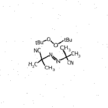 CC(C)(C#N)N=NC(C)(C)C#N.CC(C)(C)OOC(C)(C)C